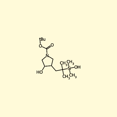 CC(C)(C)OC(=O)N1CC(O)C(CC(C)(C)[Si](C)(C)O)C1